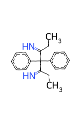 CCC(=N)C(C(=N)CC)(c1ccccc1)c1ccccc1